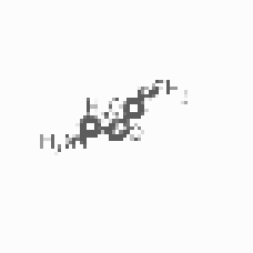 CCOc1ccc(-n2cc(-c3cccc(OC)c3)ccc2=O)c(C)c1